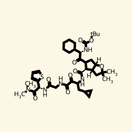 CN(C)C(=O)[C@@H](NC(=O)CNC(=O)C(=O)C(CC1CC1)NC(=O)[C@H]1C(C(=O)[C@@H](NC(=O)OC(C)(C)C)C2CCCCC2)C[C@@H]2OC(C)(C)C[C@@H]21)c1cccs1